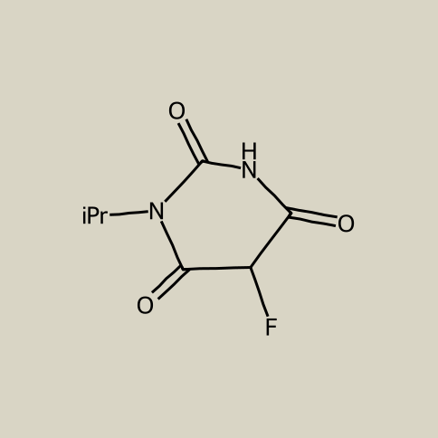 CC(C)N1C(=O)NC(=O)C(F)C1=O